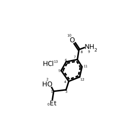 CCC(O)Cc1ccc(C(N)=O)cc1.Cl